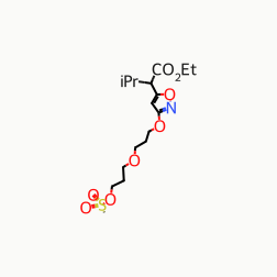 CCOC(=O)C(c1cc(OCCCOCCCOS(C)(=O)=O)no1)C(C)C